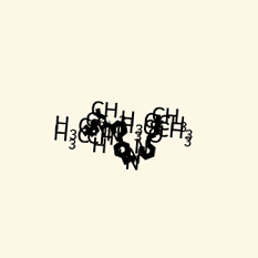 CCC[C@H](N[S+]([O-])C(C)(C)C)c1cccc(-c2ccc3cnn(-c4cccc(CO[Si](C)(C)C(C)(C)C)n4)c3c2)n1